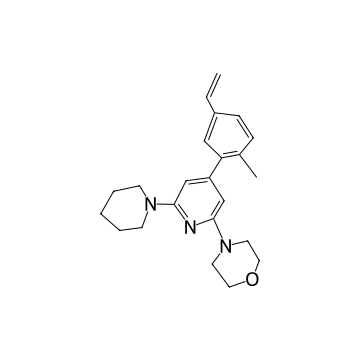 C=Cc1ccc(C)c(-c2cc(N3CCCCC3)nc(N3CCOCC3)c2)c1